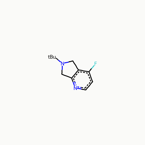 CC(C)(C)N1Cc2nccc(F)c2C1